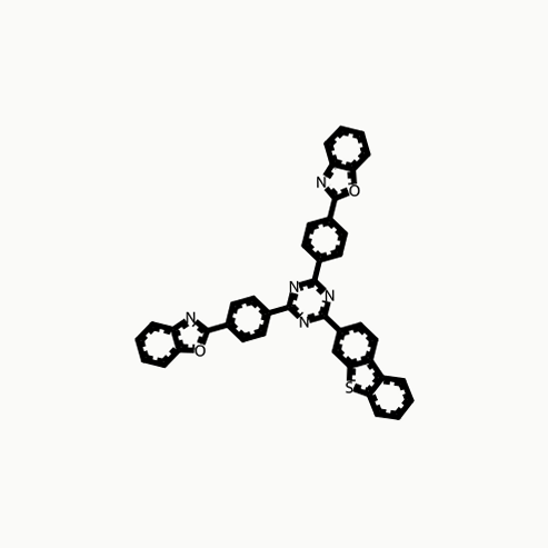 c1ccc2oc(-c3ccc(-c4nc(-c5ccc(-c6nc7ccccc7o6)cc5)nc(-c5ccc6c(c5)sc5ccccc56)n4)cc3)nc2c1